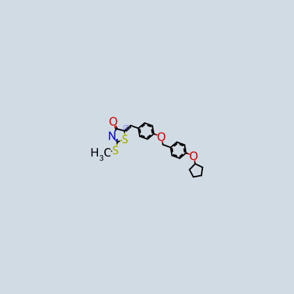 CSC1=NC(=O)/C(=C/c2ccc(OCc3ccc(OC4CCCC4)cc3)cc2)S1